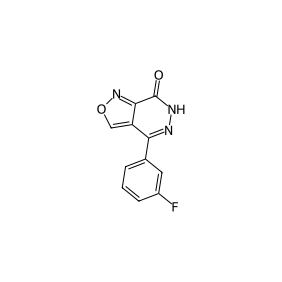 O=c1[nH]nc(-c2cccc(F)c2)c2conc12